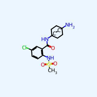 CS(=O)(=O)Nc1ccc(Cl)cc1C(=O)NC12CCC(N)(CC1)CC2